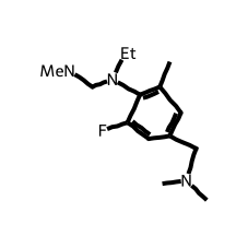 CCN(CNC)c1c(C)cc(CN(C)C)cc1F